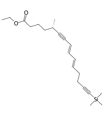 CCOC(=O)CCC[C@H](C)C#C/C=C/C=C/CCC#C[Si](C)(C)C